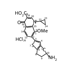 COc1c(-c2cc3c(s2)CCC(N)C3)ccc2c(=O)c(C(=O)O)cn(C3CC3)c12.Cl